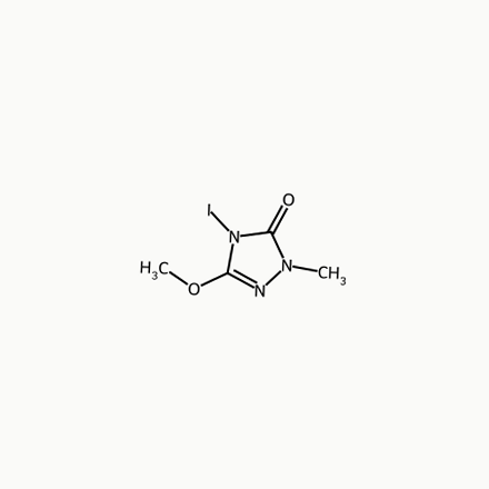 COc1nn(C)c(=O)n1I